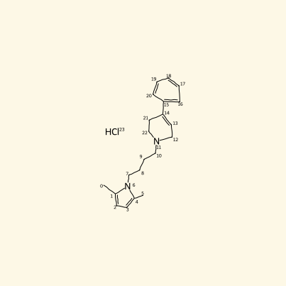 Cc1ccc(C)n1CCCCN1CC=C(c2ccccc2)CC1.Cl